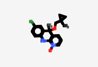 CC1(COC2(C(F)(F)F)c3cc(Cl)ccc3Nc3c2ccc[n+]3[O-])CC1